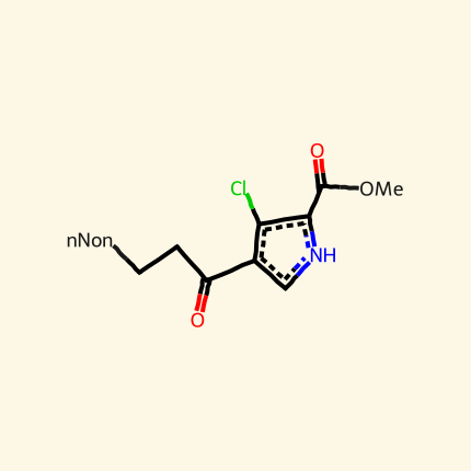 CCCCCCCCCCCC(=O)c1c[nH]c(C(=O)OC)c1Cl